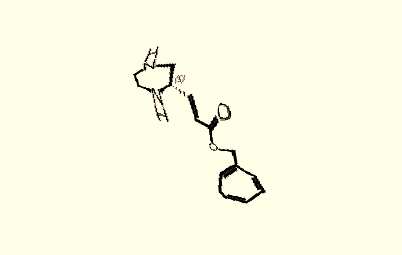 O=C(C=C[C@H]1CNCCN1)OCc1ccccc1